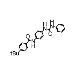 CC(C)(C)c1ccc(C(=O)Nc2ccc(NC(=O)Nc3ccccc3)cc2)cc1